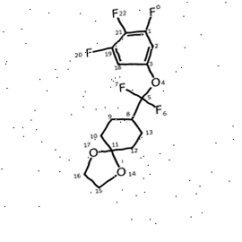 Fc1cc(OC(F)(F)C2CCC3(CC2)OCCO3)cc(F)c1F